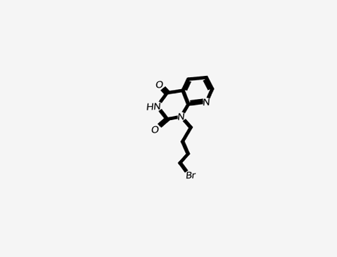 O=c1[nH]c(=O)n(CCCCBr)c2ncccc12